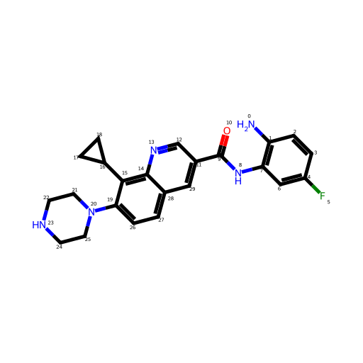 Nc1ccc(F)cc1NC(=O)c1cnc2c(C3CC3)c(N3CCNCC3)ccc2c1